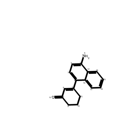 Nc1ccc(C2=CC(=O)CCC2)c2ccccc12